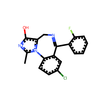 Cc1nc(O)c2n1-c1ccc(Cl)cc1C(c1ccccc1F)=NC2